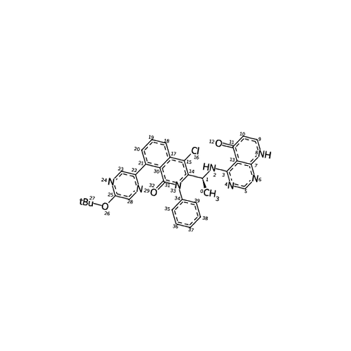 C[C@H](Nc1ncnc2[nH]ccc(=O)c12)c1c(Cl)c2cccc(-c3cnc(OC(C)(C)C)cn3)c2c(=O)n1-c1ccccc1